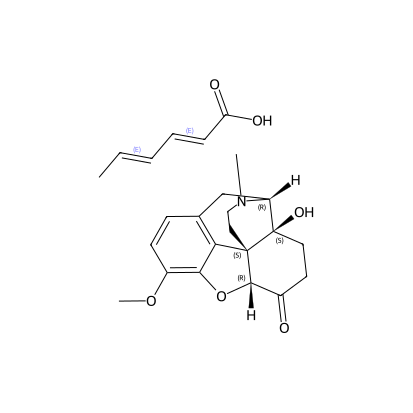 C/C=C/C=C/C(=O)O.COc1ccc2c3c1O[C@H]1C(=O)CC[C@@]4(O)[C@@H](C2)N(C)CC[C@]314